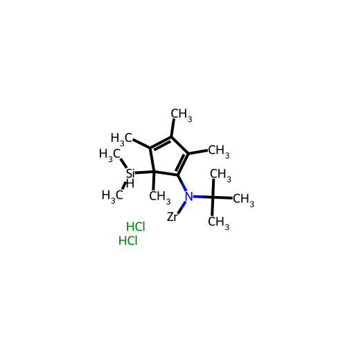 CC1=C(C)C(C)([SiH](C)C)C([N]([Zr])C(C)(C)C)=C1C.Cl.Cl